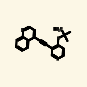 CC(C)(Sc1ccncc1C#Cc1ccnc2ccccc12)C(=O)O